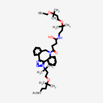 CC(=O)NCCC(C)(C)OCCC(C)(C)n1nnc2c1-c1ccccc1N(C(=O)CCC(O)NCCC(C)(C)OCCC(C)(C)OCC(C)(C)C)Cc1ccccc1-2